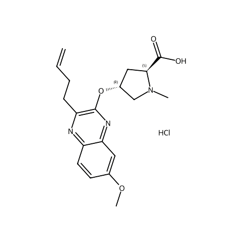 C=CCCc1nc2ccc(OC)cc2nc1O[C@@H]1C[C@@H](C(=O)O)N(C)C1.Cl